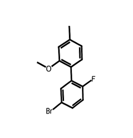 COc1cc(C)ccc1-c1cc(Br)ccc1F